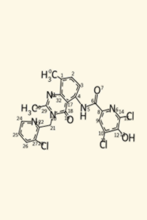 Cc1ccc(NC(=O)c2cc(Cl)c(O)c(Cl)n2)c2c(=O)n(Cc3ncccc3Cl)c(C)nc12